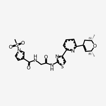 C[C@@H]1C=C(c2cccc(-c3csc(NC(=O)CNC(=O)c4ccn(S(C)(=O)=O)c4)n3)n2)C[C@H](C)O1